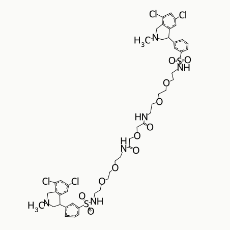 CN1Cc2c(Cl)cc(Cl)cc2C(c2cccc(S(=O)(=O)NCCOCCOCCNC(=O)COCC(=O)NCCOCCOCCNS(=O)(=O)c3cccc(C4CN(C)Cc5c(Cl)cc(Cl)cc54)c3)c2)C1